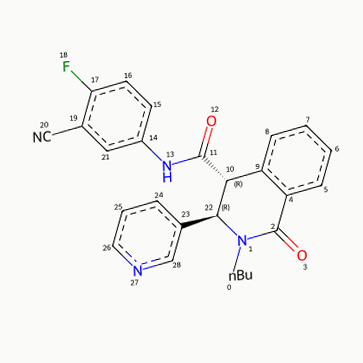 CCCCN1C(=O)c2ccccc2[C@@H](C(=O)Nc2ccc(F)c(C#N)c2)[C@@H]1c1cccnc1